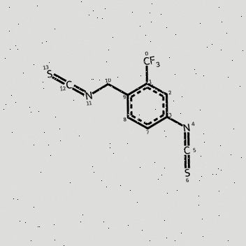 FC(F)(F)c1cc(N=C=S)ccc1CN=C=S